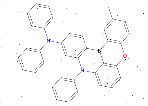 Cc1ccc2c(c1)B1c3ccc(N(c4ccccc4)c4ccccc4)cc3N(c3ccccc3)c3cccc(c31)O2